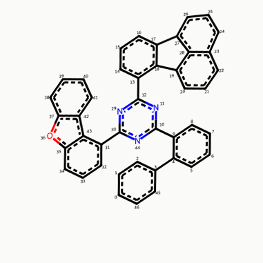 c1ccc(-c2ccccc2-c2nc(-c3cccc4c3-c3cccc5cccc-4c35)nc(-c3cccc4oc5ccccc5c34)n2)cc1